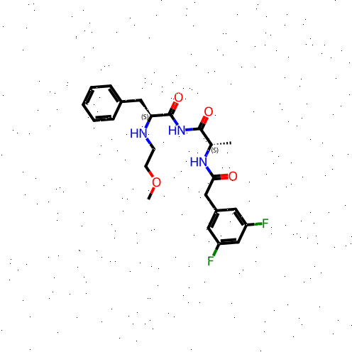 COCCN[C@@H](Cc1ccccc1)C(=O)NC(=O)[C@H](C)NC(=O)Cc1cc(F)cc(F)c1